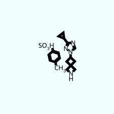 Cc1ccc(S(=O)(=O)O)cc1.c1nc(C2CC2)nn1C1CC2(CNC2)C1